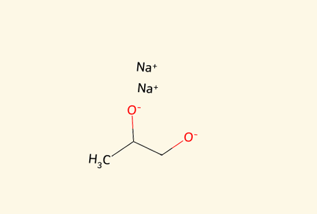 CC([O-])C[O-].[Na+].[Na+]